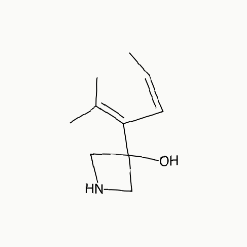 C/C=C\C(=C(C)C)C1(O)CNC1